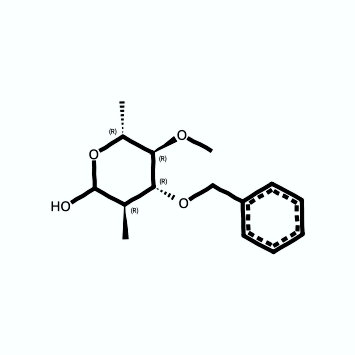 CO[C@H]1[C@H](OCc2ccccc2)[C@@H](C)C(O)O[C@@H]1C